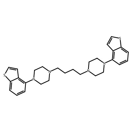 c1cc(N2CCN(CCCCN3CCN(c4cccc5sccc45)CC3)CC2)c2ccsc2c1